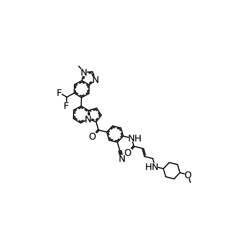 COC1CCC(NC/C=C/C(=O)Nc2ccc(C(=O)c3ccc4c(-c5cc6ncn(C)c6cc5C(F)F)cccn34)cc2C#N)CC1